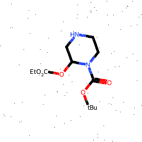 CCOC(=O)OC1CNCCN1C(=O)OC(C)(C)C